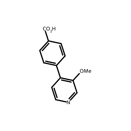 COc1cnccc1-c1ccc(C(=O)O)cc1